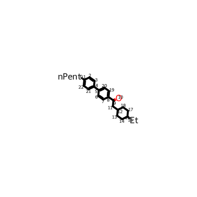 CCCCCc1ccc(-c2ccc(C(=O)CC3CCC(CC)CC3)cc2)cc1